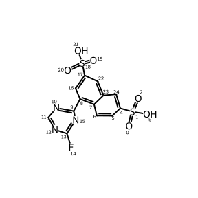 O=S(=O)(O)c1ccc2c(-c3n[c]nc(F)n3)cc(S(=O)(=O)O)cc2c1